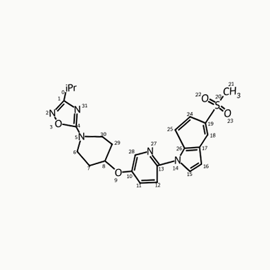 CC(C)c1noc(N2CCC(Oc3ccc(-n4ccc5cc(S(C)(=O)=O)ccc54)nc3)CC2)n1